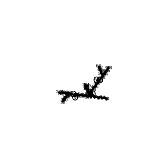 CCCCCCCCCCC(CCCCC=CC(=O)OCCC(CCCCC)CCCCC)N(CCCN(C)C)C(=O)CCCCCCC(=O)OCCC(CCCCC)CCCCC